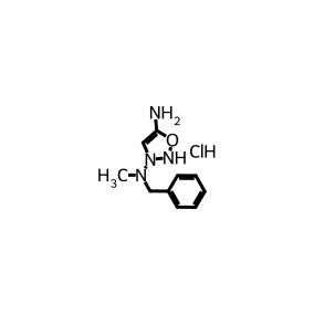 CN(Cc1ccccc1)N1C=C(N)ON1.Cl